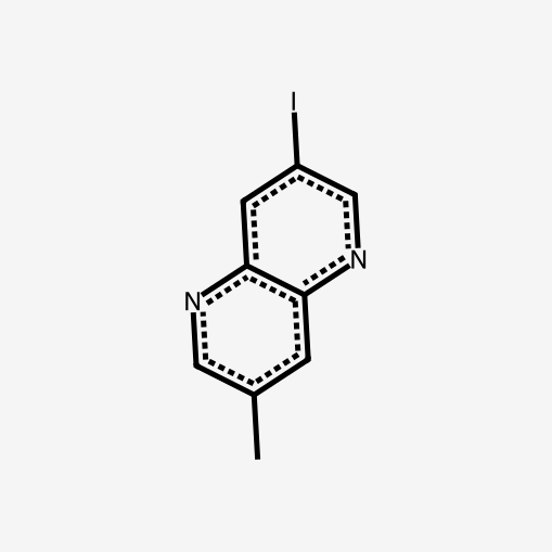 Cc1cnc2cc(I)cnc2c1